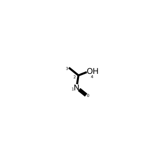 C=NC(C)O